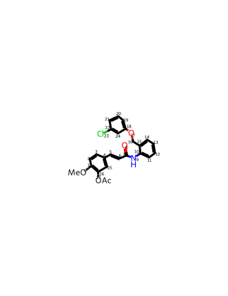 COc1ccc(C=CC(=O)Nc2ccccc2COc2cccc(Cl)c2)cc1OC(C)=O